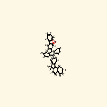 CC1(C)c2cc(-c3c4ccccc4c(-c4ccc5c(c4)oc4ccccc45)c4ccccc34)ccc2-c2c1ccc1ccccc21